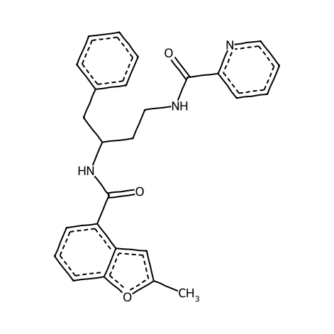 Cc1cc2c(C(=O)NC(CCNC(=O)c3ccccn3)Cc3ccccc3)cccc2o1